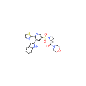 O=C([C@@H]1CCN1S(=O)(=O)c1cnc(-c2nccs2)c(-c2cc3ccccc3[nH]2)c1)N1CCOCC1